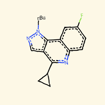 CCCCn1ncc2c(C3CC3)nc3ccc(F)cc3c21